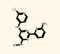 CC(C)Nc1cc(Nc2ccnc(C(F)(F)F)c2)nc(-c2cccc(N)n2)n1